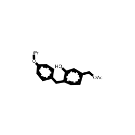 CC(=O)OCc1ccc(Cc2ccc(OC(C)C)cc2)c(O)c1